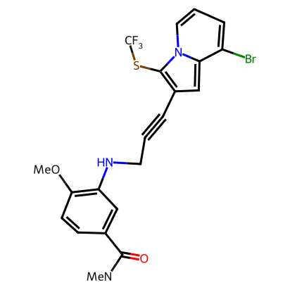 CNC(=O)c1ccc(OC)c(NCC#Cc2cc3c(Br)cccn3c2SC(F)(F)F)c1